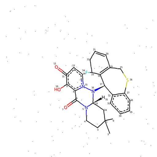 CC1(C)CCN2C(=O)c3c(O)c(=O)ccn3N([C@H]3C4=C(C=CCC4F)CSc4ccccc43)[C@@H]2C1